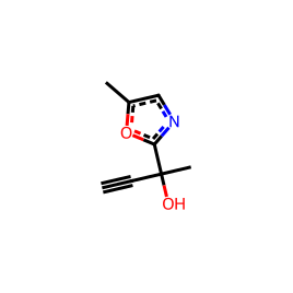 C#CC(C)(O)c1ncc(C)o1